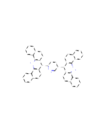 c1ccc2c(c1)ccc1c(-c3ccc(-c4c5ccc6ccccc6c5nc5c4ccc4ccccc45)nc3)c3ccc4ccccc4c3nc12